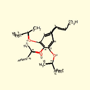 CCCCCC(C)Oc1cc(/C=C/C(=O)O)cc(OC(C)CCCCC)c1OC(C)CCCCC